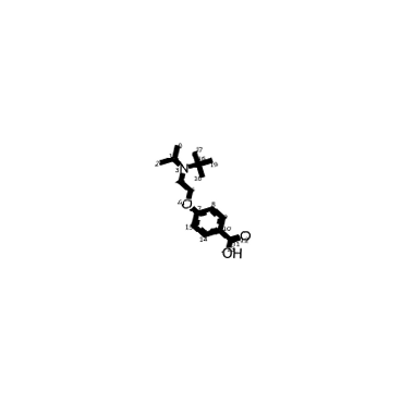 CC(C)N(CCOc1ccc(C(=O)O)cc1)C(C)(C)C